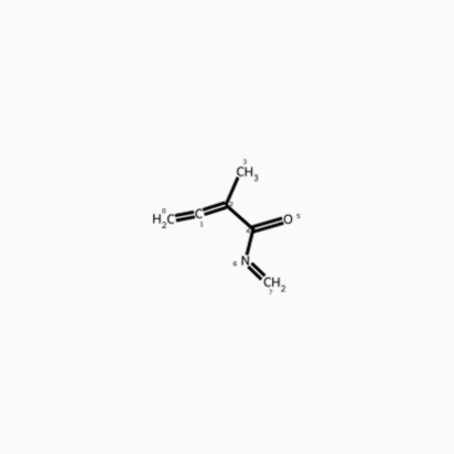 C=C=C(C)C(=O)N=C